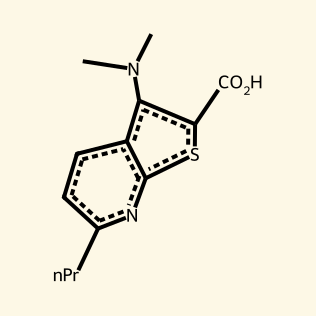 CCCc1ccc2c(N(C)C)c(C(=O)O)sc2n1